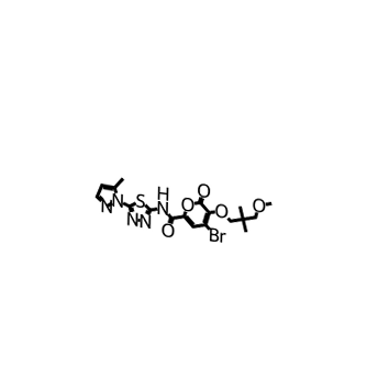 COCC(C)(C)COc1c(Br)cc(C(=O)Nc2nnc(-n3nccc3C)s2)oc1=O